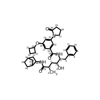 C[C@H](C[C@H](O)[C@H](Cc1ccccc1)NC(=O)c1cc(OC2CCC2)cc(N2CCCC2=O)c1)C(=O)NC1CC2CCC1C2